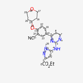 CCOC(=O)c1cc(Nc2nccc(-c3ccc(OC4CCOCC4)c(C#N)c3)n2)n(C)n1